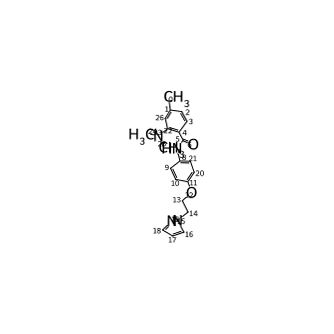 Cc1ccc(C(=O)Nc2ccc(OCCn3cccn3)cc2)c(N(C)C)c1